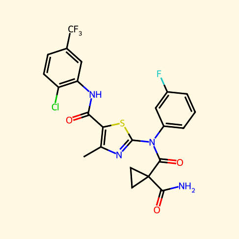 Cc1nc(N(C(=O)C2(C(N)=O)CC2)c2cccc(F)c2)sc1C(=O)Nc1cc(C(F)(F)F)ccc1Cl